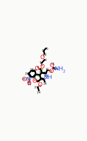 CCCOCCOC(=O)C1=C(COC(N)=O)NC(C)=C(C(=O)OCC)C1c1cccc([N+](=O)[O-])c1